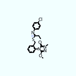 CC/C(=N\c1ccc(Cl)cc1)SCc1ccccc1-n1c(OC)nn(C)c1=O